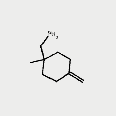 C=C1CCC(C)(CP)CC1